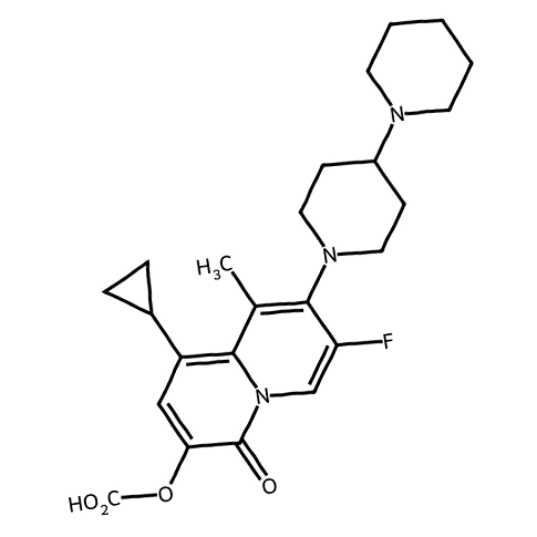 Cc1c(N2CCC(N3CCCCC3)CC2)c(F)cn2c(=O)c(OC(=O)O)cc(C3CC3)c12